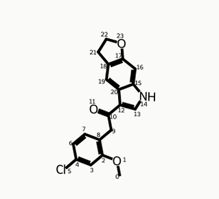 COc1cc(Cl)ccc1CC(=O)c1c[nH]c2cc3c(cc12)CCO3